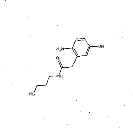 Nc1ccc(O)cc1CC(=O)NCCCO